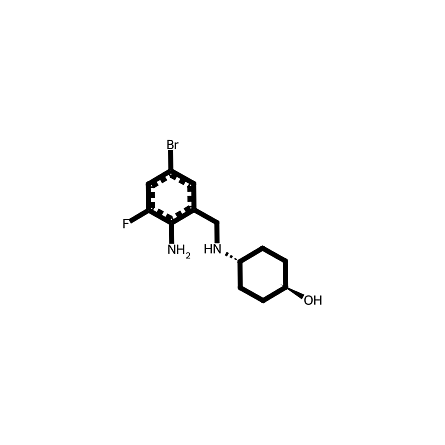 Nc1c(F)cc(Br)cc1CN[C@H]1CC[C@H](O)CC1